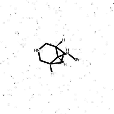 CC(C)N[C@@H]1[C@@H]2CC[C@H]1CNC2